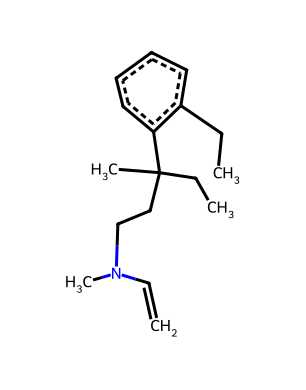 C=CN(C)CCC(C)(CC)c1ccccc1CC